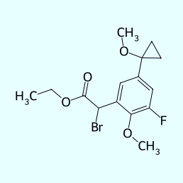 CCOC(=O)C(Br)c1cc(C2(OC)CC2)cc(F)c1OC